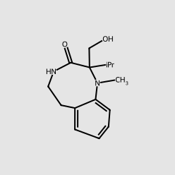 CC(C)C1(CO)C(=O)NCCc2ccccc2N1C